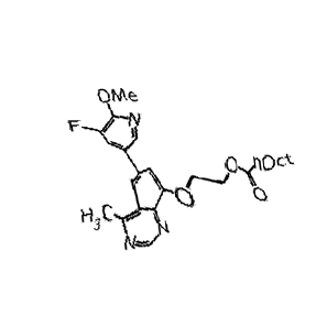 CCCCCCCCC(=O)OCCOc1cc(-c2cnc(OC)c(F)c2)cc2c(C)ncnc12